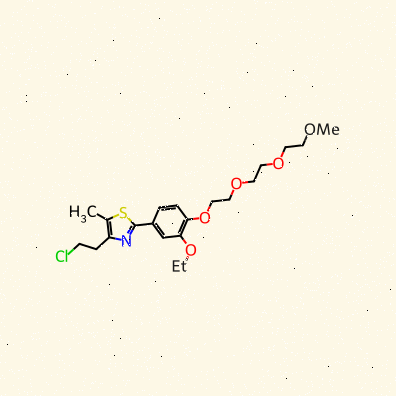 CCOc1cc(-c2nc(CCCl)c(C)s2)ccc1OCCOCCOCCOC